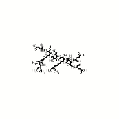 CCN(CC)CCOCC1OC(OC2C(CO)OC(OC3C(COCC[N+](CC)(CC)CCN(CC)CC)OC(ON[C@H](C=O)CCC(=O)O)C(O)C3O)C(O)C2O)C(O)C(O)C1OC1OC(CON[C@H](C=O)CCC(=O)O)C(ON[C@H](C=O)CCC(=O)O)C(O)C1O